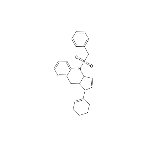 O=S(=O)(Cc1ccccc1)N1c2ccccc2CC2C(C3=CCCCC3)C=CC21